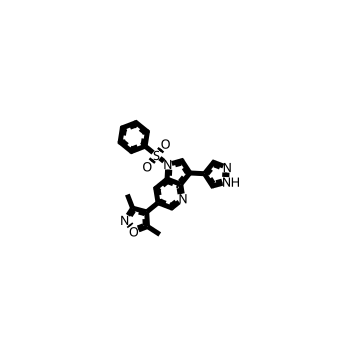 Cc1noc(C)c1-c1cnc2c(-c3cn[nH]c3)cn(S(=O)(=O)c3ccccc3)c2c1